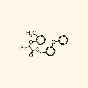 Cc1ccccc1OC(C(=O)OCc1cccc(Oc2ccccc2)c1)C(C)C